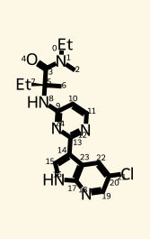 CCN(C)C(=O)[C@@](C)(CC)Nc1ccnc(-c2c[nH]c3ncc(Cl)cc23)n1